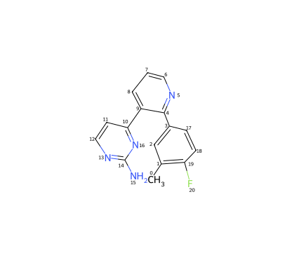 Cc1cc(-c2ncccc2-c2ccnc(N)n2)ccc1F